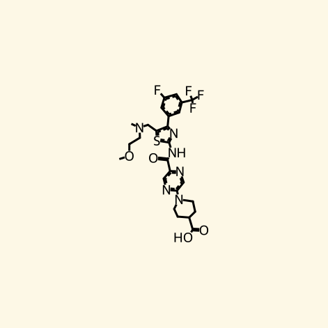 COCCN(C)Cc1sc(NC(=O)c2cnc(N3CCC(C(=O)O)CC3)cn2)nc1-c1cc(F)cc(C(F)(F)F)c1